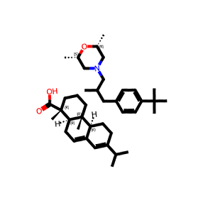 CC(C)C1=CC2=CC[C@@H]3[C@](C)(CCC[C@@]3(C)C(=O)O)[C@H]2CC1.CC(Cc1ccc(C(C)(C)C)cc1)CN1C[C@@H](C)O[C@@H](C)C1